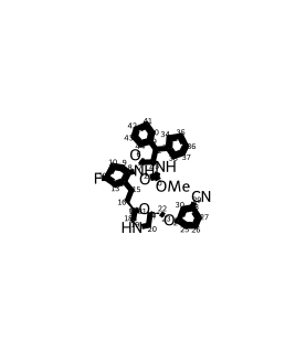 COC(=O)NC(C(=O)Nc1ccc(F)cc1CC[C@@H]1CNC[C@@H](COc2cccc(C#N)c2)O1)C(c1ccccc1)c1ccccc1